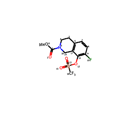 COC(=O)N1CCc2ccc(F)c(OS(=O)(=O)C(F)(F)F)c2C1